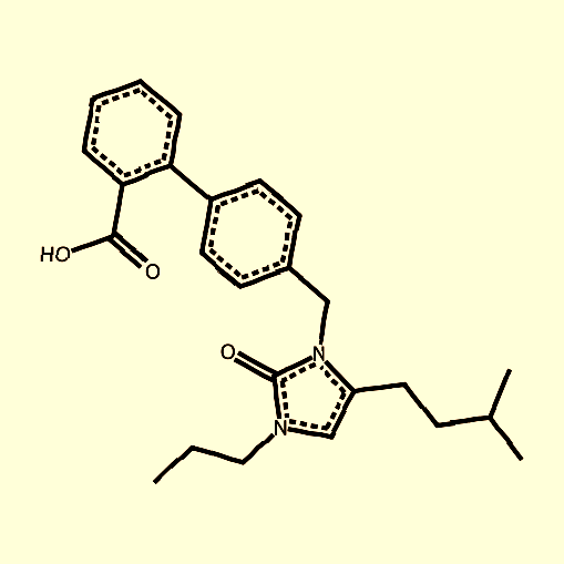 CCCn1cc(CCC(C)C)n(Cc2ccc(-c3ccccc3C(=O)O)cc2)c1=O